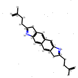 C=C(C)CCC1=Nc2cc3cc4c(cc3cc2C1)N=C(CCC(=C)C)C4